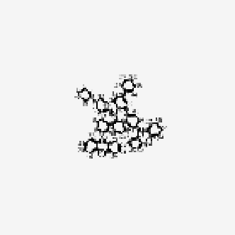 c1ccc(-c2cc(-c3ccc(N4c5ccccc5Oc5ccccc54)cc3)c3c(c2)c2cc(-c4ccccc4)cc(-c4ccc(N5c6ccccc6Oc6ccccc65)cc4)c2n3-c2ccccc2)cc1